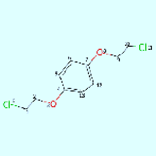 ClCCOc1ccc(OCCCl)cc1